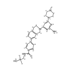 CN1CCN(c2cc(N3CCc4ccc(-c5ccc(C(=O)NCC(C)(C)O)nc5)cc4C3)nc(N)n2)CC1